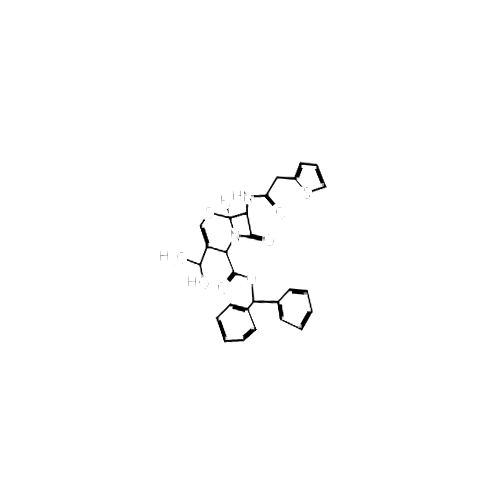 CC(O)C1=CS[C@@H]2C(NC(=O)Cc3cccs3)C(=O)N2C1C(=O)OC(c1ccccc1)c1ccccc1